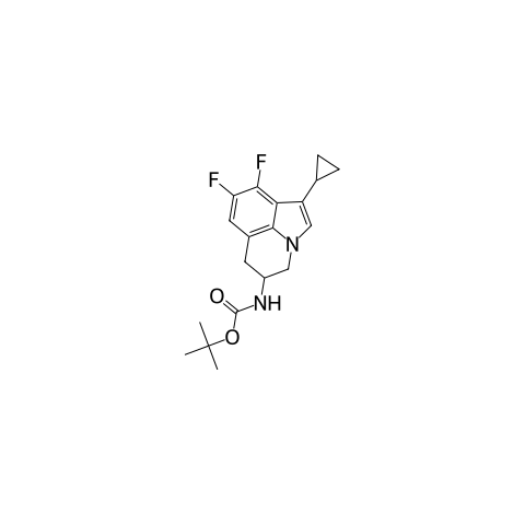 CC(C)(C)OC(=O)NC1Cc2cc(F)c(F)c3c(C4CC4)cn(c23)C1